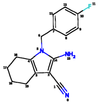 N#Cc1c2c(n(Cc3ccc(F)cc3)c1N)CCCC2